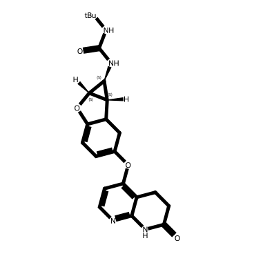 CC(C)(C)NC(=O)N[C@@H]1[C@H]2OC3=CC=C(Oc4ccnc5c4CCC(=O)N5)CC3[C@@H]12